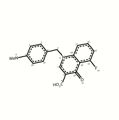 CNc1ccc(Cn2cc(C(=O)O)c(=O)c3c(F)cccc32)cc1